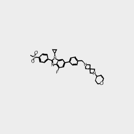 CS(=O)(=O)c1ccc(-c2nc3c(F)cc(-c4ccc(CN5CC6(C5)CN(C5CCOCC5)C6)cc4)cc3n2C2CC2)cc1